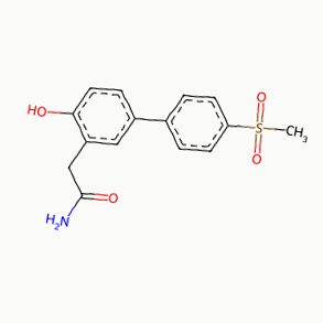 CS(=O)(=O)c1ccc(-c2ccc(O)c(CC(N)=O)c2)cc1